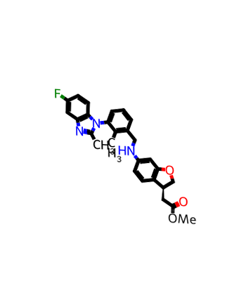 COC(=O)C[C@@H]1COc2cc(NCc3cccc(-n4c(C)nc5cc(F)ccc54)c3C)ccc21